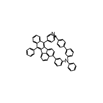 N#Cc1ccc(-c2cccc(N(c3ccccc3)c3cccc(-c4ccc5c6c(cccc46)-c4c-5c(-c5ccccc5)c5ccccc5c4-c4ccccc4)c3)c2)cc1